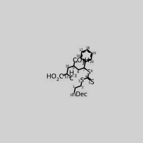 CCCCCCCCCCCCSC(=S)SC(CC(CC(C)C(=O)O)C(=O)O)c1ccccc1